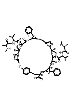 CN[C@@H](C)C(=O)N[C@H](C(=O)N1C[C@@H]2C[C@H]1C(=O)N[C@@H](Cc1ccccc1)C(=O)NCc1cn(nn1)[C@H]1C[C@@H](C(=O)N[C@@H](Cc3ccccc3)C(=O)N[C@H](C(=O)O)Cc3ccc(cc3)OCc3cn2nn3)N(C(=O)[C@@H](NC(=O)[C@H](C)NC)C(C)C)C1)C(C)C